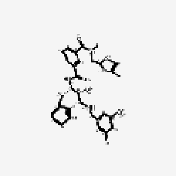 Cc1csc(CN(C)C(=O)c2cccc(C(=O)N[C@@H](Cc3ccccc3)[C@H](O)CNCc3cc(F)cc(C(F)(F)F)c3)c2)n1